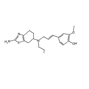 CCCN(CC=Cc1ccc(O)c(OC)c1)C1CCc2nc(N)sc2C1